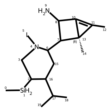 C[SiH2]C1CN(I)C(C2C(N)C3=C(C)[C@]32C)CC1C(C)C